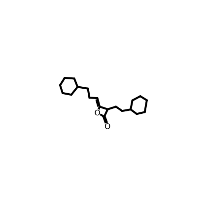 O=C1OC(=CCCC2CCCCC2)C1CCC1CCCCC1